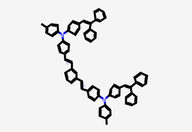 Cc1ccc(N(c2ccc(C=C(c3ccccc3)c3ccccc3)cc2)c2ccc(/C=C/c3cccc(/C=C/c4ccc(N(c5ccc(C)cc5)c5ccc(C=C(c6ccccc6)c6ccccc6)cc5)cc4)c3)cc2)cc1